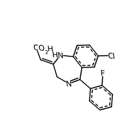 O=C(O)C=C1CN=C(c2ccccc2F)c2cc(Cl)ccc2N1